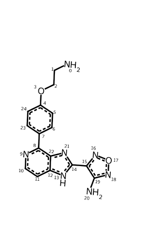 NCCOc1ccc(-c2nccc3[nH]c(-c4nonc4N)nc23)cc1